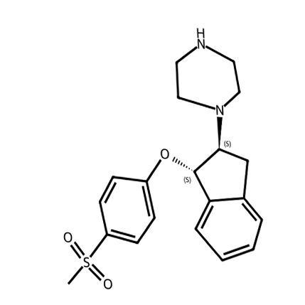 CS(=O)(=O)c1ccc(O[C@H]2c3ccccc3C[C@@H]2N2CCNCC2)cc1